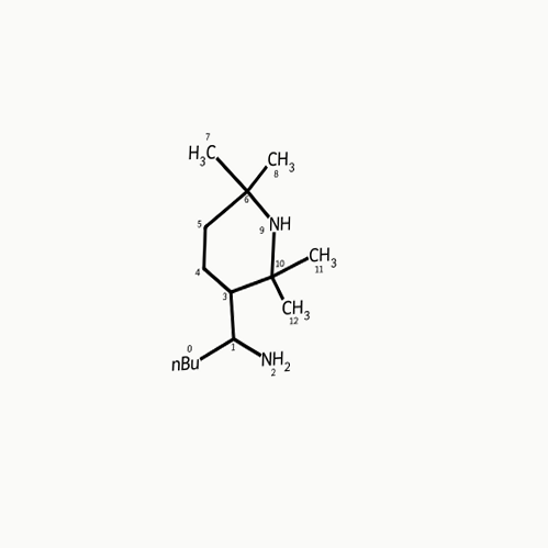 CCCCC(N)C1CCC(C)(C)NC1(C)C